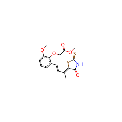 COC(=O)COc1c(C=CC(C)=C2SC(=S)NC2=O)cccc1OC